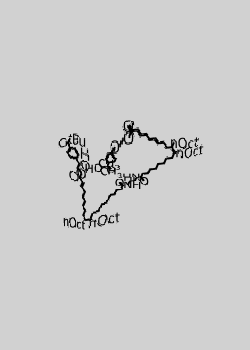 CCCCCCCCC(CCCCCCCCC(=O)NCCNC(=O)CCCCCCCCC(CCCCCCCC)C(CCCCCCCC)CCCCCCCCC(=O)OCC(O)c1ccc(C(=O)C(C)(C)C)cc1)C(CCCCCCCC)CCCCCCCCC(=O)OCCOc1ccc(C(=O)C(C)(C)O)cc1